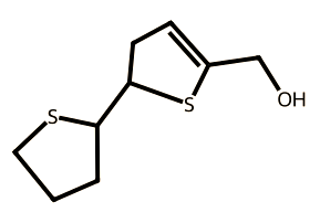 OCC1=CCC(C2CCCS2)S1